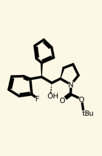 CC(C)(C)OC(=O)N1CCC[C@@H]1[C@H](O)[C@H](c1ccccc1)c1ccccc1F